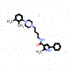 Cc1cccc(N2CCN(CCCCNC(=O)c3cc(-c4ccccc4)[nH]c3C)CC2)c1C